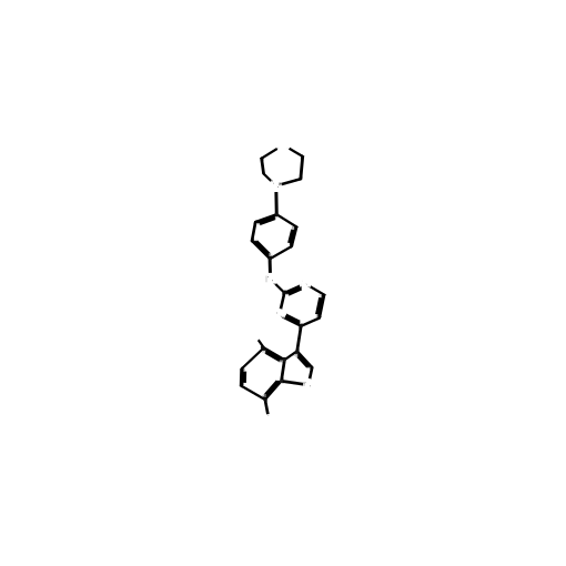 Fc1ccc(F)c2c(-c3ccnc(Nc4ccc(N5CCOCC5)cc4)n3)c[nH]c12